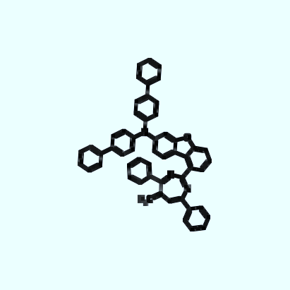 C=C1C=C(c2ccccc2)N=C(c2cccc3oc4cc(N(c5ccc(-c6ccccc6)cc5)c5ccc(-c6ccccc6)cc5)ccc4c23)N=C1c1ccccc1